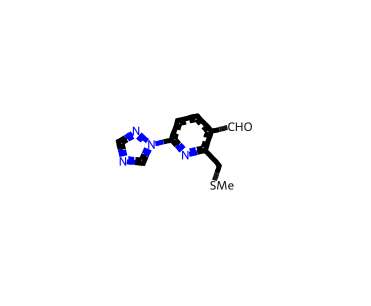 CSCc1nc(-n2cncn2)ccc1C=O